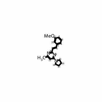 COc1cccc(C=Cc2nc(C)cc(N3CCCC3)n2)c1